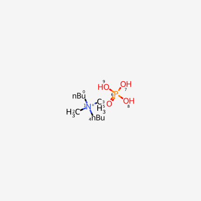 CCCC[N+](C)(C)CCCC.O=P(O)(O)O